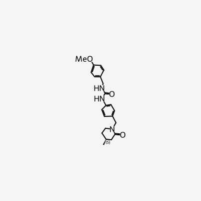 COc1ccc(CNC(=O)Nc2ccc(CN3CC[C@H](C)CC3=O)cc2)cc1